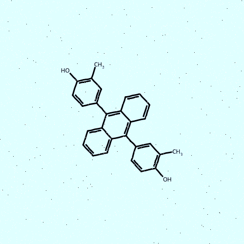 Cc1cc(-c2c3ccccc3c(-c3ccc(O)c(C)c3)c3ccccc23)ccc1O